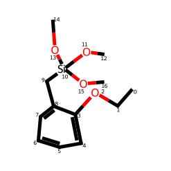 CCOc1ccccc1C[Si](OC)(OC)OC